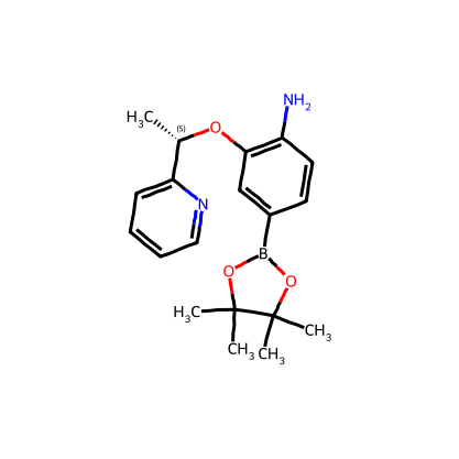 C[C@H](Oc1cc(B2OC(C)(C)C(C)(C)O2)ccc1N)c1ccccn1